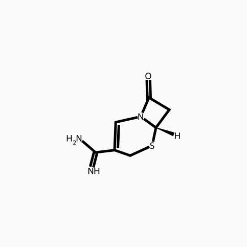 N=C(N)C1=CN2C(=O)C[C@@H]2SC1